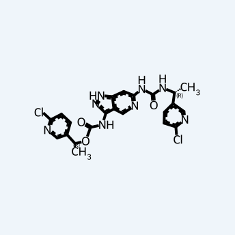 C[C@@H](NC(=O)Nc1cc2[nH]nc(NC(=O)O[C@H](C)c3ccc(Cl)nc3)c2cn1)c1ccc(Cl)nc1